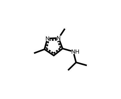 Cc1cc(NC(C)C)n(C)n1